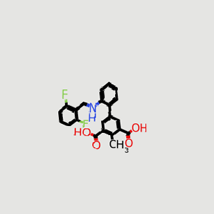 Cc1c(C(=O)O)cc(-c2ccccc2NCc2c(F)cccc2F)cc1C(=O)O